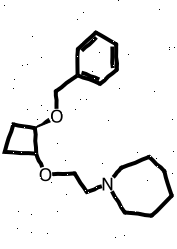 c1ccc(CO[C@@H]2CCC2OCCN2CCCCCC2)cc1